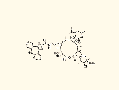 CC[C@H]1OC(=O)[C@H](C)[C@@H](O[C@H]2C[C@@](C)(OC)[C@@H](O)[C@H](C)O2)[C@H](C)[C@@H](O[C@@H]2O[C@H](C)C[C@H](N(C)C)[C@H]2O)[C@](C)(O)C[C@@H](C)CN(CCCNC(=O)c2cc3c(s2)-c2ccccc2Nc2ccccc2-3)[C@H](C)[C@@H](O)[C@]1(C)O